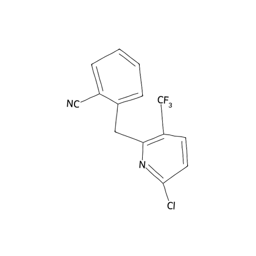 N#Cc1ccccc1Cc1nc(Cl)ccc1C(F)(F)F